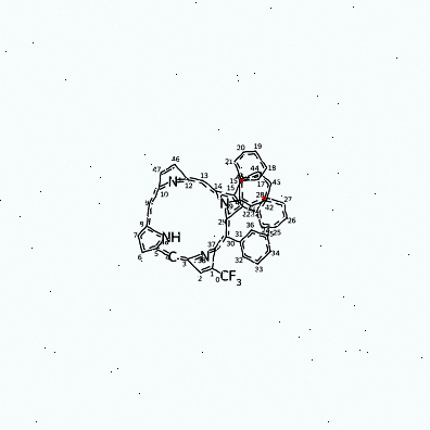 FC(F)(F)C1=Cc2cc3ccc(cc4nc(cc5c(-c6ccccc6)c(-c6ccccc6)c(c(-c6ccccc6)c1n2)n5-c1ccccc1)C=C4)[nH]3